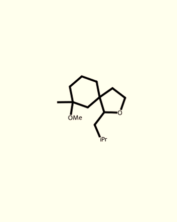 COC1(C)CCCC2(CCOC2CC(C)C)C1